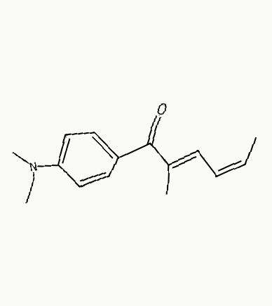 C/C=C\C=C(/C)C(=O)c1ccc(N(C)C)cc1